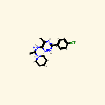 Cc1nc(-c2ccc(Cl)cc2)nnc1NC(C)N1CCCCC1